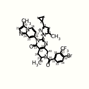 Cc1cc(C2CC2)nn1-c1nc2c(c(=O)n1-c1ccn3c(C)cnc3c1)CC(C)N(C(=O)c1ccc(Br)c(C(F)(F)F)c1)C2